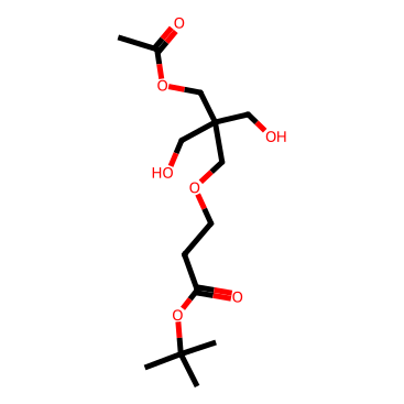 CC(=O)OCC(CO)(CO)COCCC(=O)OC(C)(C)C